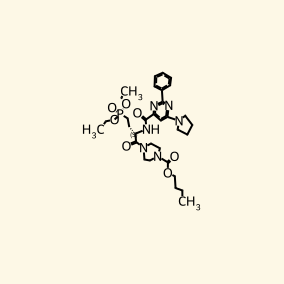 CCCCOC(=O)N1CCN(C(=O)[C@H](CCP(=O)(OCC)OCC)NC(=O)c2cc(N3CCCC3)nc(-c3ccccc3)n2)CC1